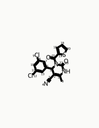 CC1=C(C#N)C(c2cc(Cl)cc(Cl)c2)N(C(=O)c2cccs2)C(=O)N1